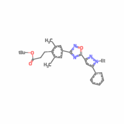 CCn1nc(-c2nc(-c3cc(C)c(CCC(=O)OC(C)(C)C)c(C)c3)no2)cc1-c1ccccc1